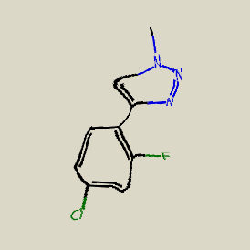 Cn1cc(-c2ccc(Cl)cc2F)nn1